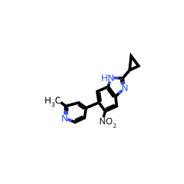 Cc1cc(-c2cc3[nH]c(C4CC4)nc3cc2[N+](=O)[O-])ccn1